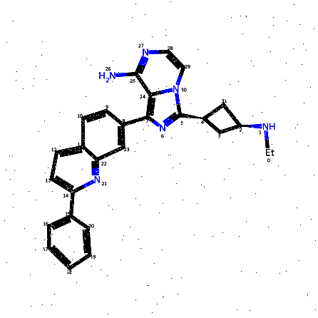 CCN[C@H]1C[C@@H](c2nc(-c3ccc4ccc(-c5ccccc5)nc4c3)c3c(N)nccn32)C1